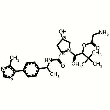 Cc1ncsc1-c1ccc(C(C)NC(=O)[C@@H]2C[C@@H](O)CN2C(=O)C(OC(=O)CN)C(C)(C)C)cc1